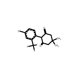 CC1(C)CC(=O)C(c2ccc(Cl)cc2C(F)(F)F)C(=O)C1